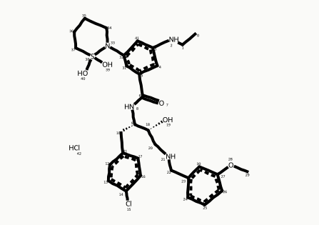 CCNc1cc(C(=O)N[C@@H](Cc2ccc(Cl)cc2)[C@H](O)CNCc2cccc(OC)c2)cc(N2CCCCS2(O)O)c1.Cl